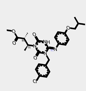 COC(=O)[C@H](C)[C@H](C)n1c(=O)[nH]/c(=N\c2ccc(OCC(C)C)cc2)n(Cc2ccc(Cl)cc2)c1=O